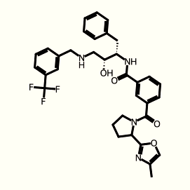 Cc1coc(C2CCCN2C(=O)c2cccc(C(=O)N[C@@H](Cc3ccccc3)[C@H](O)CNCc3cccc(C(F)(F)F)c3)c2)n1